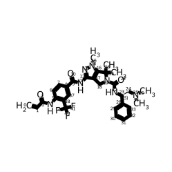 C=CC(=O)Nc1ccc(C(=O)Nc2nn(C)c3c2CN(C(=O)N[C@H](CN(C)C)c2ccccc2)C3(C)C)cc1C(F)(F)F